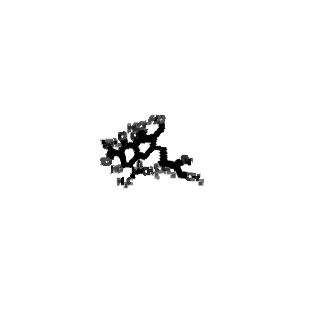 C=C/C(Br)=C(\C)C[C@H]1C[C@H]2[C@H](N(C)C)C(O)=C(C(N)=O)C(=O)[C@@]2(O)C(O)=C1CO